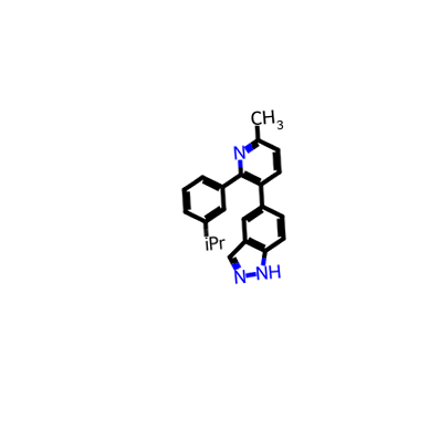 Cc1ccc(-c2ccc3[nH]ncc3c2)c(-c2cccc(C(C)C)c2)n1